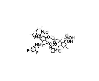 CC1=NO[C@@]2(CC[C@H](C)N3C[C@H]2n2cc(C(=O)NCc4ccc(F)cc4F)c(=O)c(OCOC(=O)CC(C)(C)c4c(CC(=O)N5CCC[C@@H]5C(=O)O)cc(C)cc4OP(=O)(O)O)c2C3=O)C1